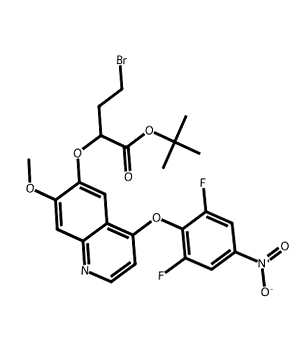 COc1cc2nccc(Oc3c(F)cc([N+](=O)[O-])cc3F)c2cc1OC(CCBr)C(=O)OC(C)(C)C